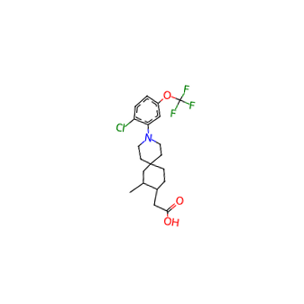 CC1CC2(CCC1CC(=O)O)CCN(c1cc(OC(F)(F)F)ccc1Cl)CC2